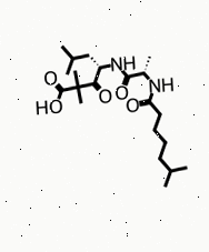 CC(C)CCCCC(=O)N[C@@H](C)C(=O)N[C@@H](CC(C)C)C(=O)C(C)(C)C(=O)O